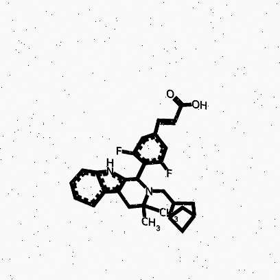 CC1(C)Cc2c([nH]c3ccccc23)C(c2c(F)cc(/C=C/C(=O)O)cc2F)N1CC1CC2CC1C2